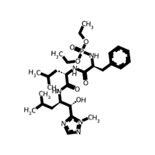 CCOP(=O)(N[C@@H](Cc1ccccc1)C(=O)N[C@@H](CC(C)C)C(=O)N[C@H](CC(C)C)[C@H](O)c1ncnn1C)OCC